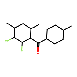 CC1CCC(C(=O)C2C(C)CC(C)C(F)C2F)CC1